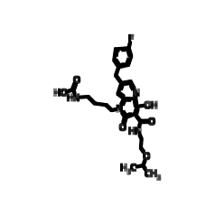 CC(C)OCCNC(=O)c1c(O)c2ncc(Cc3ccc(F)cc3)cc2n(CCCCNC(=O)O)c1=O